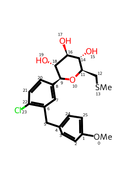 COc1ccc(Cc2cc([C@@H]3O[C@H](CSC)[C@@H](O)[C@H](O)[C@H]3O)ccc2Cl)cc1